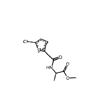 COC(=O)C(C)NC(=O)c1ccc(Cl)s1